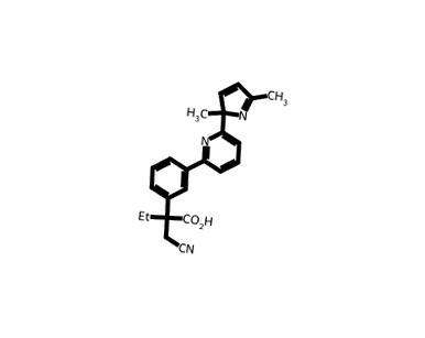 CCC(CC#N)(C(=O)O)c1cccc(-c2cccc(C3(C)C=CC(C)=N3)n2)c1